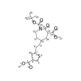 COC(=O)c1csc(CCC2CCN(C(=O)OC(C)(C)C)C(=O)C(C(=O)OC)C2)c1